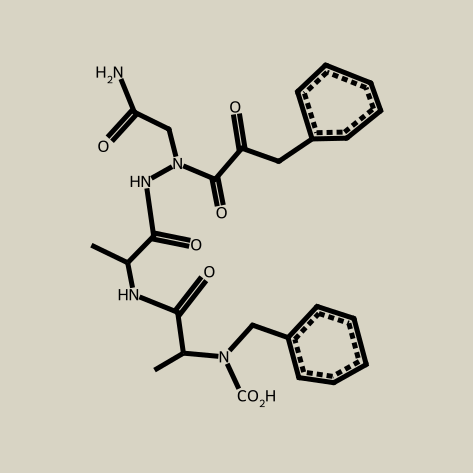 CC(NC(=O)C(C)N(Cc1ccccc1)C(=O)O)C(=O)NN(CC(N)=O)C(=O)C(=O)Cc1ccccc1